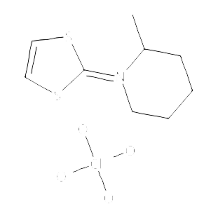 CC1CCCC[N+]1=c1sccs1.[O-][Cl+3]([O-])([O-])[O-]